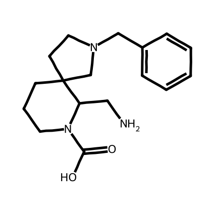 NCC1N(C(=O)O)CCCC12CCN(Cc1ccccc1)C2